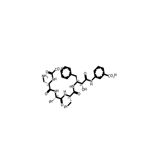 CC(C)C[C@H](NC(=O)[C@@H](NC(=O)[C@H](CN)NC(=O)C(=O)O)C(C)C)C(=O)N[C@@H](Cc1ccccc1)[C@@H](O)C(=O)Nc1cccc(C(=O)O)c1